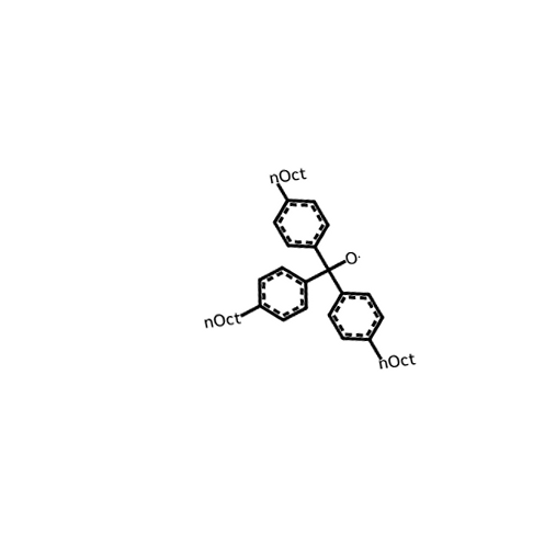 CCCCCCCCc1ccc(C([O])(c2ccc(CCCCCCCC)cc2)c2ccc(CCCCCCCC)cc2)cc1